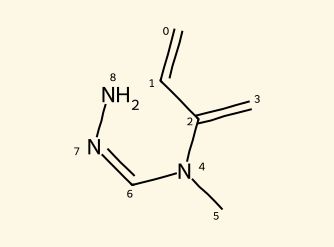 C=CC(=C)N(C)/C=N\N